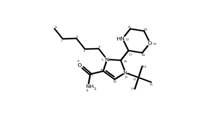 CCCCCN1C(C(N)=O)=CN(C(C)(C)C)C1C1COCCN1